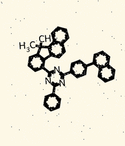 CC1(C)c2cccc(-c3nc(-c4ccccc4)nc(-c4ccc(-c5cccc6ccccc56)cc4)n3)c2-c2ccc3ccccc3c21